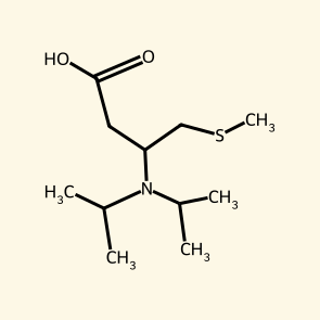 CSCC(CC(=O)O)N(C(C)C)C(C)C